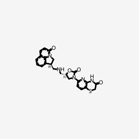 O=C1CSc2ccc(N3C[C@H](CNC[C@@H]4Cn5c(=O)ccc6cccc4c65)OC3=O)nc2N1